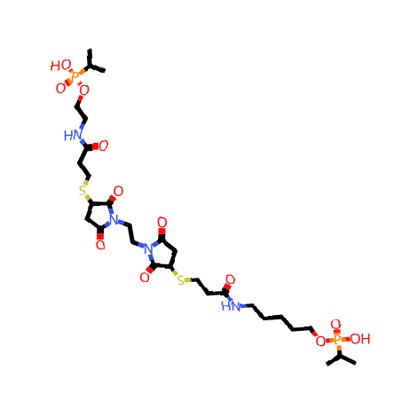 CC(C)P(=O)(O)OCCCCCNC(=O)CCSC1CC(=O)N(CCN2C(=O)CC(SCCC(=O)NCCOP(=O)(O)C(C)C)C2=O)C1=O